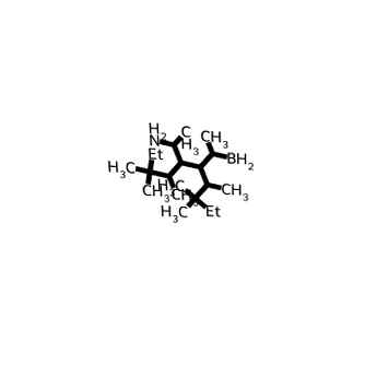 BC(C)C(C(C(C)N)C(C)C(C)(C)CC)C(C)C(C)(C)CC